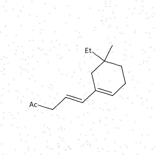 CCC1(C)CCC=C(C=CCC(C)=O)C1